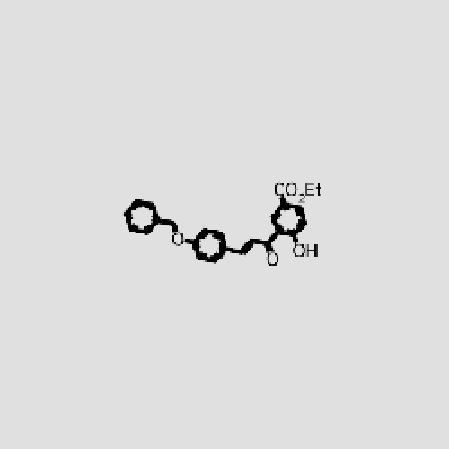 CCOC(=O)c1ccc(O)c(C(=O)C=Cc2ccc(OCc3ccccc3)cc2)c1